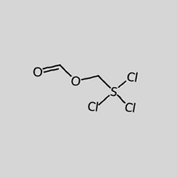 O=COCS(Cl)(Cl)Cl